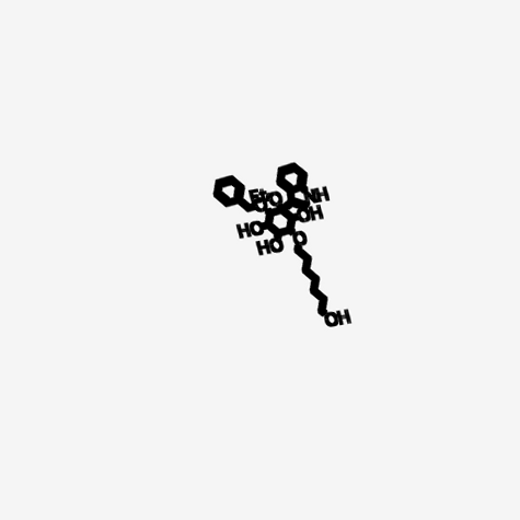 CCOC1(c2c[nH]c3ccccc23)C(O)C(OCCCCCCCO)C(O)C(O)C1OCc1ccccc1